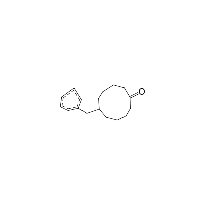 O=C1CCCCC(Cc2ccccc2)CCCC1